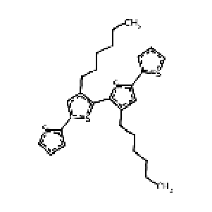 CCCCCCc1cc(-c2cccs2)sc1-c1sc(-c2cccs2)cc1CCCCCC